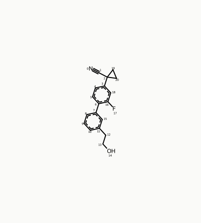 N#CC1(c2ccc(-c3cccc(CCO)c3)c(F)c2)CC1